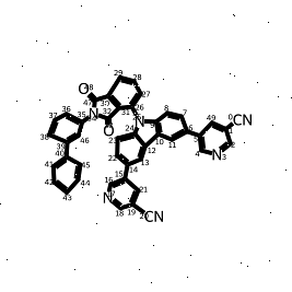 N#Cc1cncc(-c2ccc3c(c2)c2cc(-c4cncc(C#N)c4)ccc2n3-c2cccc3c2C(=O)N(c2cccc(-c4ccccc4)c2)C3=O)c1